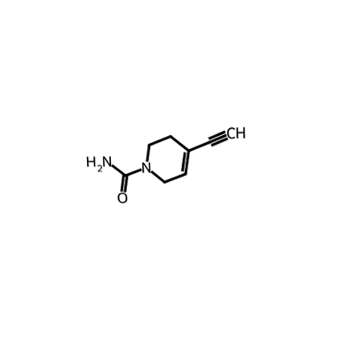 C#CC1=CCN(C(N)=O)CC1